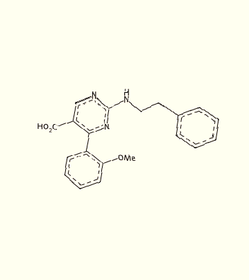 COc1ccccc1-c1nc(NCCc2ccccc2)ncc1C(=O)O